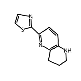 c1csc(-c2ccc3c(n2)CCCN3)n1